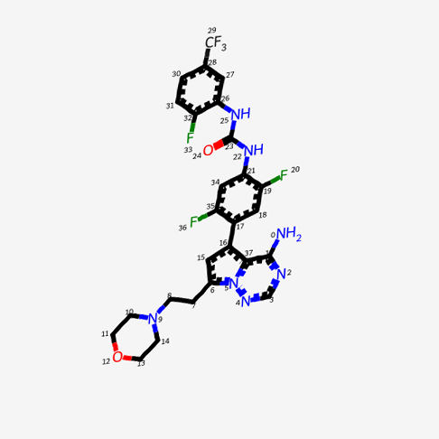 Nc1ncnn2c(CCN3CCOCC3)cc(-c3cc(F)c(NC(=O)Nc4cc(C(F)(F)F)ccc4F)cc3F)c12